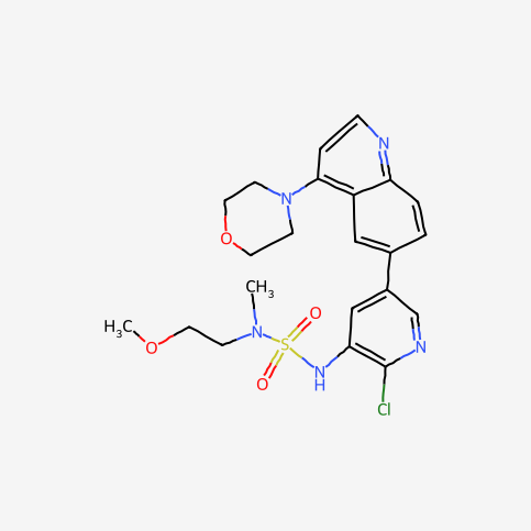 COCCN(C)S(=O)(=O)Nc1cc(-c2ccc3nccc(N4CCOCC4)c3c2)cnc1Cl